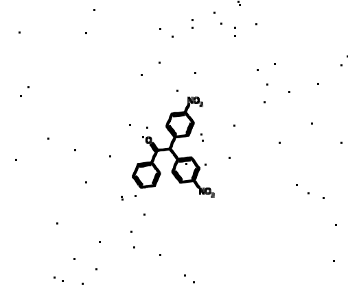 O=C(c1ccccc1)C(c1ccc([N+](=O)[O-])cc1)c1ccc([N+](=O)[O-])cc1